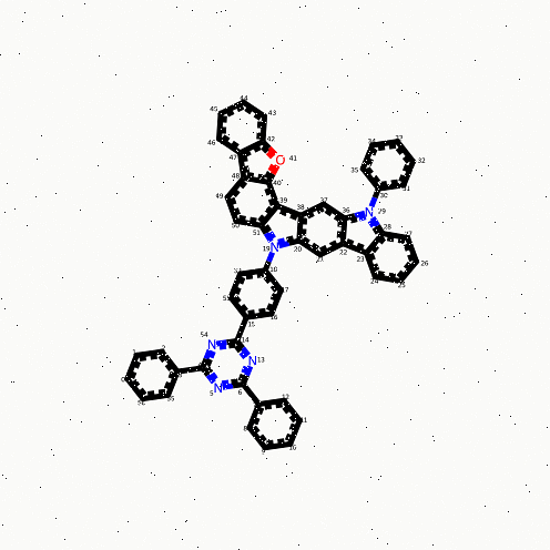 c1ccc(-c2nc(-c3ccccc3)nc(-c3ccc(-n4c5cc6c7ccccc7n(-c7ccccc7)c6cc5c5c6oc7ccccc7c6ccc54)cc3)n2)cc1